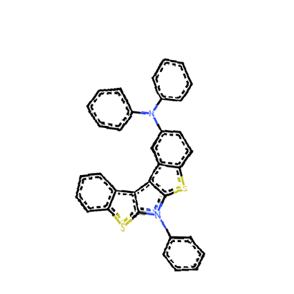 c1ccc(N(c2ccccc2)c2ccc3sc4c(c3c2)c2c3ccccc3sc2n4-c2ccccc2)cc1